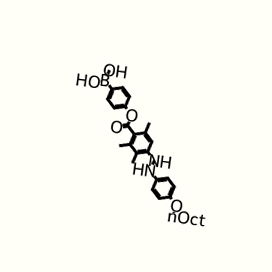 CCCCCCCCOc1ccc(NNc2cc(C)c(C(=O)Oc3ccc(B(O)O)cc3)c(C)c2C)cc1